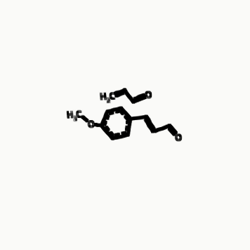 C=CC=O.COc1ccc(C=CC=O)cc1